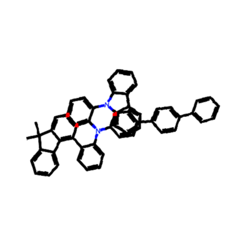 CC1(C)c2ccccc2-c2c(-c3ccccc3N(c3ccc(-c4ccc(-c5ccccc5)cc4)cc3)c3ccccc3-n3c4ccccc4c4ccccc43)cccc21